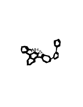 C1=Cc2c(sc3c4[nH]c5ccccc5c4c4ccccc4c23)CC(c2cccc(-c3ccccc3)c2)=C1